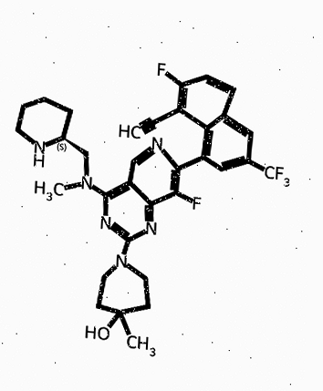 C#Cc1c(F)ccc2cc(C(F)(F)F)cc(-c3ncc4c(N(C)C[C@@H]5CCCCN5)nc(N5CCC(C)(O)CC5)nc4c3F)c12